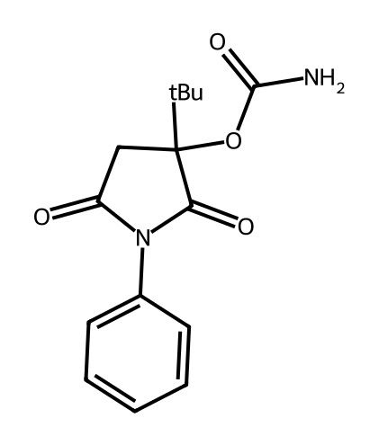 CC(C)(C)C1(OC(N)=O)CC(=O)N(c2ccccc2)C1=O